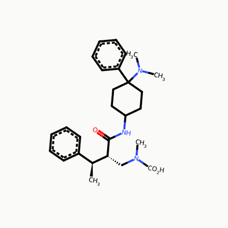 C[C@@H](c1ccccc1)[C@@H](CN(C)C(=O)O)C(=O)NC1CCC(c2ccccc2)(N(C)C)CC1